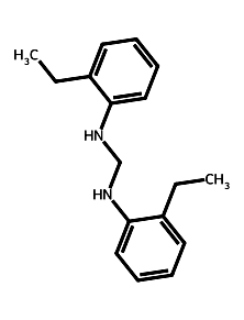 CCc1ccccc1NCNc1ccccc1CC